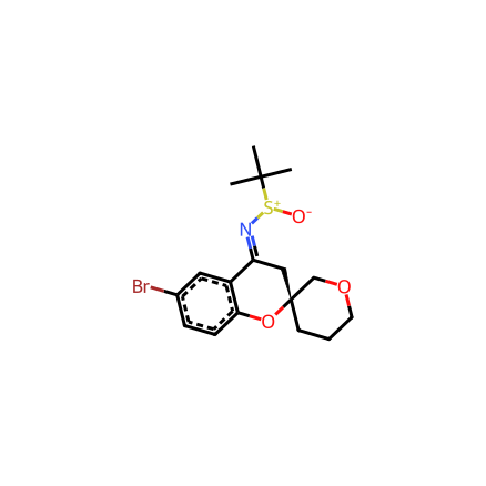 CC(C)(C)[S+]([O-])/N=C1\C[C@@]2(CCCOC2)Oc2ccc(Br)cc21